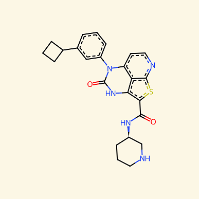 O=C(N[C@@H]1CCCNC1)c1sc2nccc3c2c1NC(=O)N3c1cccc(C2CCC2)c1